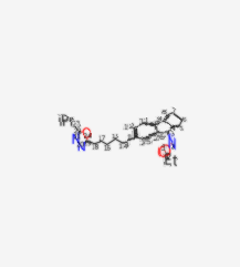 CCO/N=C1/c2ccccc2-c2ccc(CCCCCc3nnc(C(C)C)o3)cc21